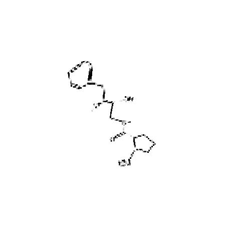 CC(C)(C)N1CCC[C@H]1C(=O)NC[C@@H](O)[C@@H](N)Cc1ccccc1